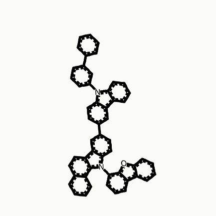 c1ccc(-c2cccc(-n3c4ccccc4c4cc(-c5ccc6c(c5)c5ccc7ccccc7c5n6-c5cccc6c5oc5ccccc56)ccc43)c2)cc1